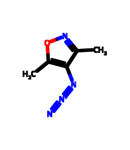 Cc1noc(C)c1N=[N+]=[N-]